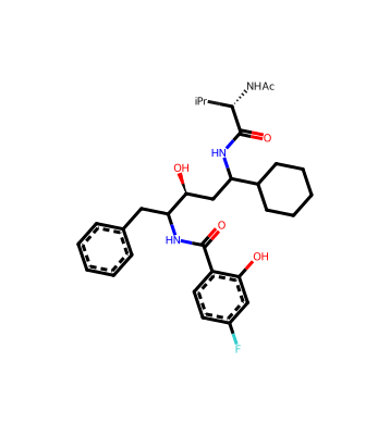 CC(=O)N[C@H](C(=O)NC(C[C@H](O)C(Cc1ccccc1)NC(=O)c1ccc(F)cc1O)C1CCCCC1)C(C)C